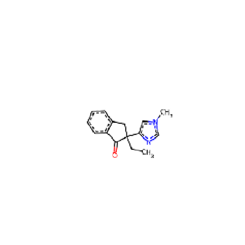 CCC1(c2cn(C)cn2)Cc2ccccc2C1=O